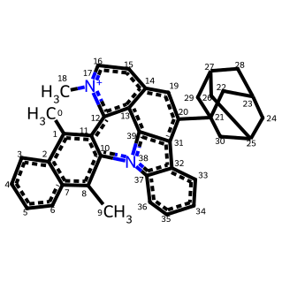 Cc1c2ccccc2c(C)c2c1c1c3c(cc[n+]1C)cc(C14CC5CC(CC(C5)C1)C4)c1c4ccccc4n2c13